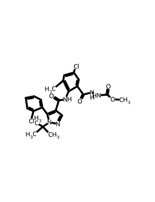 COC(=O)NNC(=O)c1cc(Cl)cc(C)c1NC(=O)c1cnn(C(C)(C)C)c1-c1ccccc1Cl